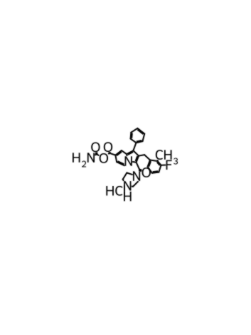 Cc1c(F)cccc1Cc1c(-c2ccccc2)c2cc(C(=O)OC(N)=O)ccn2c1C(=O)N1CCNCC1.Cl